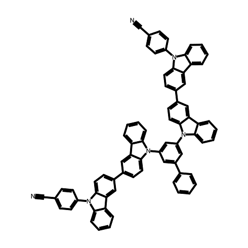 N#Cc1ccc(-n2c3ccccc3c3cc(-c4ccc5c(c4)c4ccccc4n5-c4cc(-c5ccccc5)cc(-n5c6ccccc6c6cc(-c7ccc8c(c7)c7ccccc7n8-c7ccc(C#N)cc7)ccc65)c4)ccc32)cc1